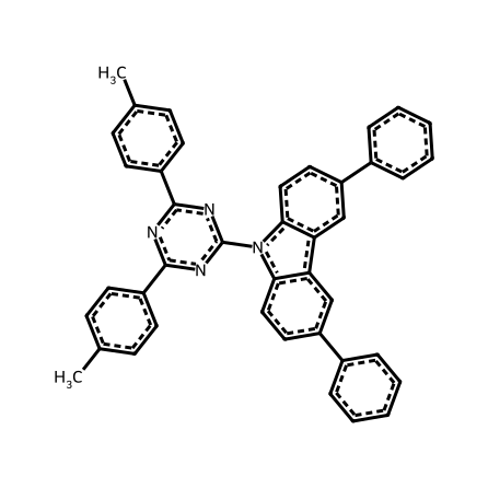 Cc1ccc(-c2nc(-c3ccc(C)cc3)nc(-n3c4ccc(-c5ccccc5)cc4c4cc(-c5ccccc5)ccc43)n2)cc1